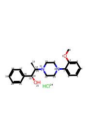 COc1ccccc1N1CCN([C@H](C)[C@@H](O)c2ccccc2)CC1.Cl